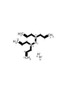 C=CC[N](CC=C)[Ti][N](CC=C)CC=C.[H-].[H-]